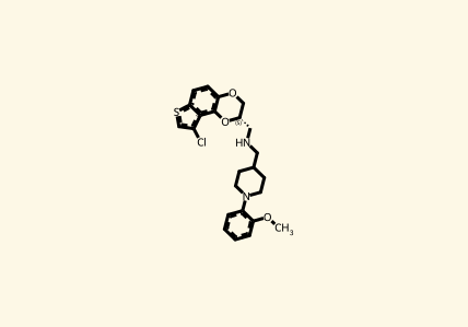 COc1ccccc1N1CCC(CNC[C@H]2COc3ccc4scc(Cl)c4c3O2)CC1